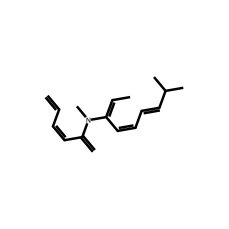 C=C/C=C\C(=C)N(C)C(/C=C\C=C\C(C)C)=C/C